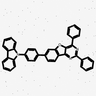 c1ccc(-c2nc(-c3ccccc3)c3oc4cc(-c5ccc(-n6c7ccccc7c7ccccc76)cc5)ccc4c3n2)cc1